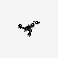 CN1CCC(Oc2ccc(Nc3ncc4cc(C#COc5ccccc5F)c(=O)n(Cc5nccn5-c5ccncc5)c4n3)cc2)CC1